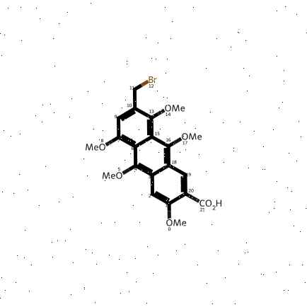 COc1cc2c(OC)c3c(OC)cc(CBr)c(OC)c3c(OC)c2cc1C(=O)O